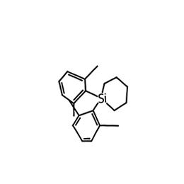 Cc1cccc(C)c1[Si]1(c2c(C)cccc2C)CCCCC1